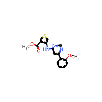 COC(=O)c1cscc1Nc1cc(-c2ccccc2OC)ncn1